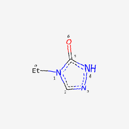 CCn1cn[nH]c1=O